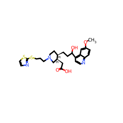 COc1ccc2nccc(C(O)CC[C@@H]3CCN(CCCSc4nccs4)C[C@@H]3CC(=O)O)c2c1